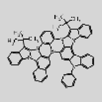 CC(C)(C)c1c2ccccc2n2c3c4ccccc4cc4c3n(c12)-c1cccc2c1B4c1cc3c(c4ccccc4n3-c3ccccc3)c3c1n-2c1c(C(C)(C)C)c2ccccc2n31